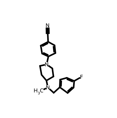 CN(Cc1ccc(F)cc1)C1CCN(c2ccc(C#N)cc2)CC1